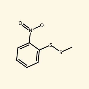 CSSc1ccccc1[N+](=O)[O-]